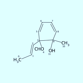 C/C=C/C1(C=O)C=CC=CC1(C)O